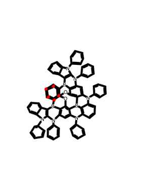 c1ccc(N2c3cccc4c3B(c3c2cc2c5c3Oc3ccccc3B5c3c(n(-c5ccccc5)c5ccccc35)N2c2ccccc2)c2c(cc3c5c2Oc2ccccc2B5c2c(n(-c5ccccc5)c5ccccc25)N3c2ccccc2)N4c2ccccc2)cc1